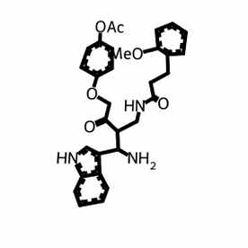 COc1ccccc1CCC(=O)NCC(C(=O)COc1ccc(OC(C)=O)cc1)C(N)c1c[nH]c2ccccc12